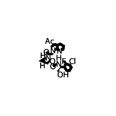 CC(=O)c1cn(CC(=O)N2[C@@H](OC(=O)N[C@H](CO)c3cccc(Cl)c3F)C[C@H]3C[C@H]32)c2ncccc12